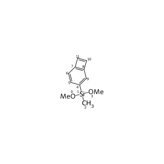 CO[Si](C)(OC)c1ccc2c(c1)C=C2